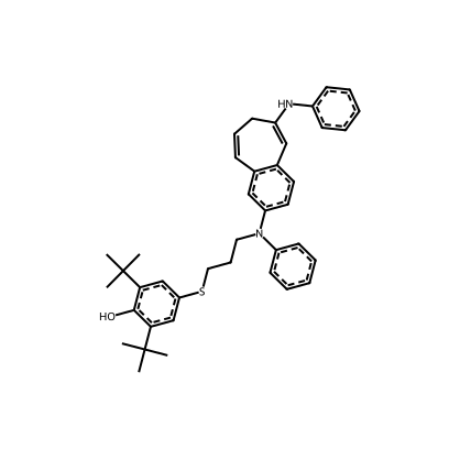 CC(C)(C)c1cc(SCCCN(c2ccccc2)c2ccc3c(c2)C=CCC(Nc2ccccc2)=C3)cc(C(C)(C)C)c1O